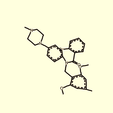 COc1cc(C)cc(OC)c1CN(C(=O)c1ccccc1Br)c1ccc(N2CCN(C)CC2)cc1